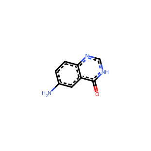 Nc1ccc2nc[nH]c(=O)c2c1